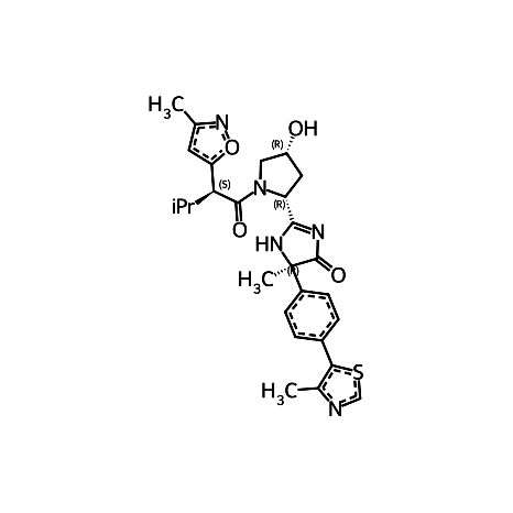 Cc1cc([C@@H](C(=O)N2C[C@H](O)C[C@@H]2C2=NC(=O)[C@@](C)(c3ccc(-c4scnc4C)cc3)N2)C(C)C)on1